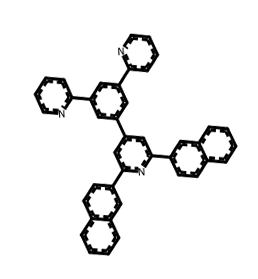 c1ccc(-c2cc(-c3cc(-c4ccc5ccccc5c4)nc(-c4ccc5ccccc5c4)c3)cc(-c3ccccn3)c2)nc1